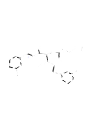 CCOC(=O)CC(C(=O)/C=C/c1cccc(F)c1)=C(O)C=Cc1cccc(F)c1